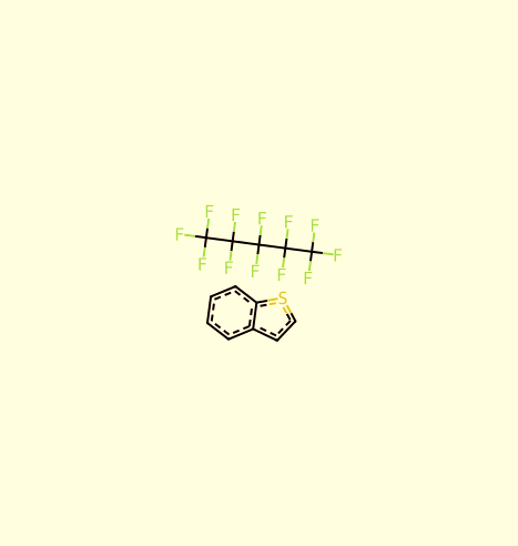 FC(F)(F)C(F)(F)C(F)(F)C(F)(F)C(F)(F)F.c1ccc2sccc2c1